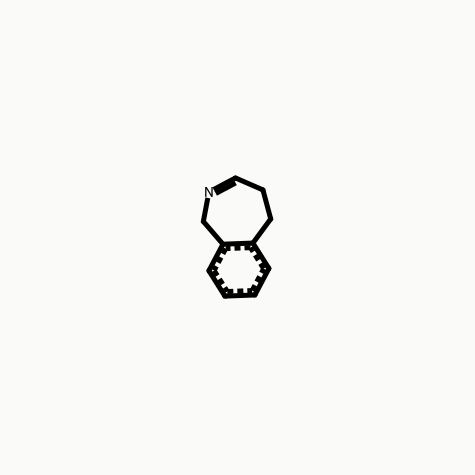 C1=NCc2ccccc2CC1